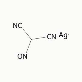 N#CC(C#N)N=O.[Ag]